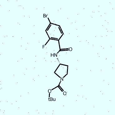 CC(C)(C)OC(=O)N1CC[C@@H](NC(=O)c2ccc(Br)cc2F)C1